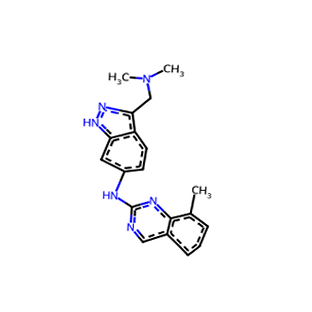 Cc1cccc2cnc(Nc3ccc4c(CN(C)C)n[nH]c4c3)nc12